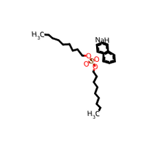 CCCCCCCCCOS(=O)(=O)OCCCCCCCCC.[NaH].c1ccc2ccccc2c1